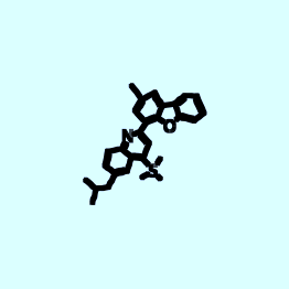 Cc1cc(-c2cc(S(C)(C)C)c3cc(CC(C)C)ccc3n2)c2oc3ccccc3c2c1